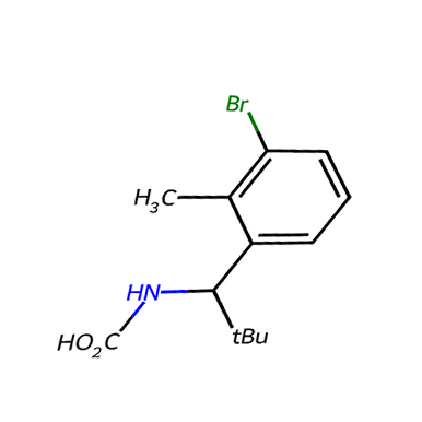 Cc1c(Br)cccc1C(NC(=O)O)C(C)(C)C